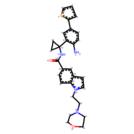 Nc1ccc(-c2cccs2)cc1C1(NC(=O)c2ccc3c(ccn3CCN3CCOCC3)c2)CC1